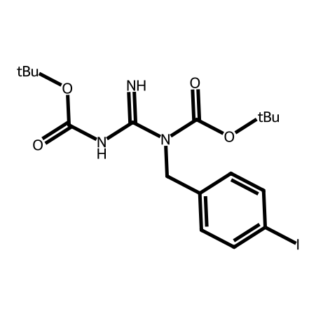 CC(C)(C)OC(=O)NC(=N)N(Cc1ccc(I)cc1)C(=O)OC(C)(C)C